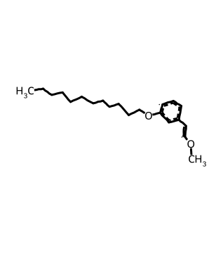 CCCCCCCCCCCCOc1[c]ccc(C=[C]OC)c1